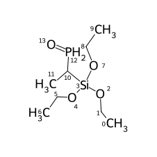 CCO[Si](OCC)(OCC)C(C)[PH2]=O